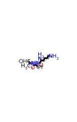 CC([C]=O)NC(=O)C(NC(=O)C(N)CCCCN)C(C)C